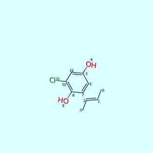 CC=CC.Oc1ccc(O)c(Cl)c1